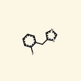 Fc1ccccc1[CH]c1cncs1